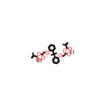 C=C(C)C(=O)OC(COc1ccccc1C(C)(C)c1ccccc1OCC(OCC)OC(=O)C(=C)C)OCC